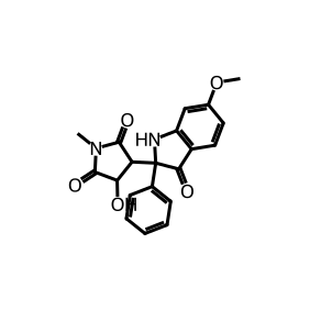 COc1ccc2c(c1)NC(c1ccccc1)(C1C(=O)N(C)C(=O)C1O)C2=O